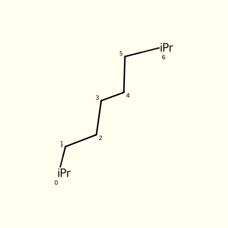 CC(C)[CH]CCCCC(C)C